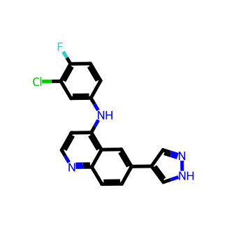 Fc1ccc(Nc2ccnc3ccc(-c4cn[nH]c4)cc23)cc1Cl